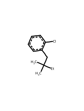 CCC(C)(C)Cc1ccccc1Cl